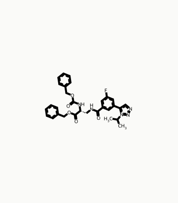 CC(C)n1nncc1-c1cc(F)cc(C(=O)NC[C@@H](NC(=O)OCc2ccccc2)C(=O)OCc2ccccc2)c1